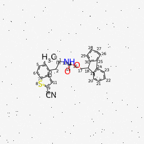 C[C@@H](Cc1cccc2sc(C#N)cc12)NC(=O)OCC1c2ccccc2-c2ccccc21